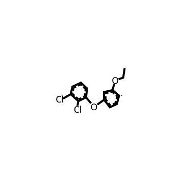 CCOc1[c]ccc(Oc2cccc(Cl)c2Cl)c1